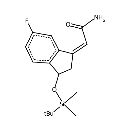 CC(C)(C)[Si](C)(C)OC1C/C(=C/C(N)=O)c2cc(F)ccc21